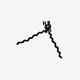 CCCCCCCCCCCCOP(=O)(OP)OCCCCCCCCCCCC